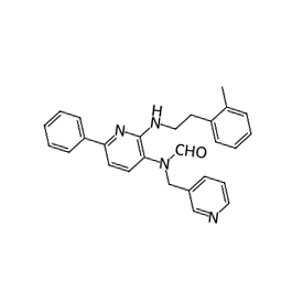 Cc1ccccc1CCNc1nc(-c2ccccc2)ccc1N(C=O)Cc1cccnc1